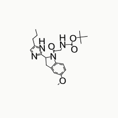 CCCc1cnc(C2Cc3cc(OC)ccc3N2C(=O)CNC(=O)OC(C)(C)C)[nH]1